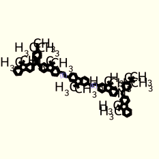 CC(C)(C)c1ccc(N(c2ccc3c(c2)C(C)(C)c2ccccc2-3)c2ccc3c(c2)C(C)(C)c2cc(/C=C/c4ccc5c(c4)C(C)(C)c4cc(/C=C/c6ccc7c(c6)C(C)(C)c6cc(N(c8ccc(C(C)(C)C)cc8)c8ccc9c(c8)C(C)(C)c8ccccc8-9)ccc6-7)ccc4-5)ccc2-3)cc1